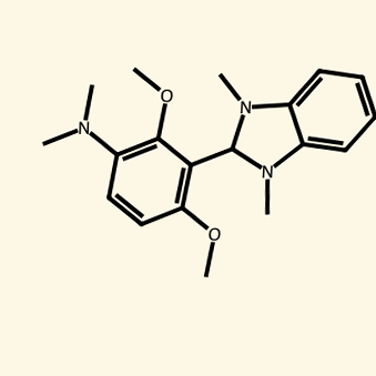 COc1ccc(N(C)C)c(OC)c1C1N(C)c2ccccc2N1C